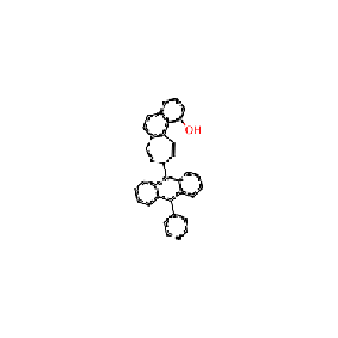 Oc1cccc2ccc3c(c12)C#CC(c1c2ccccc2c(-c2ccccc2)c2ccccc12)C=C3